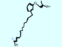 CCC/C=C/C/C=C/CCCCCCCc1cccc(OCC(C)C(C)CC)c1